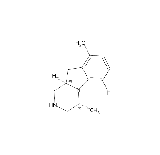 Cc1ccc(F)c2c1C[C@@H]1CNC[C@@H](C)N21